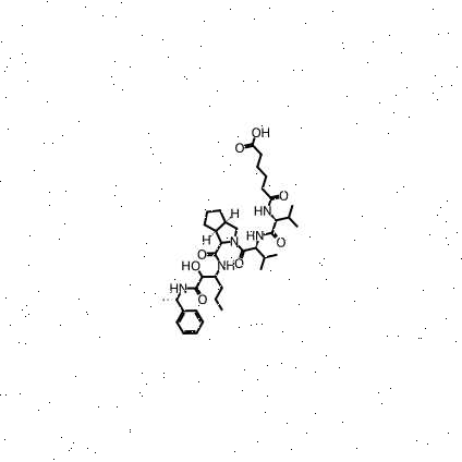 CCCC(NC(=O)C1[C@H]2CCC[C@H]2CN1C(=O)[C@@H](NC(=O)[C@@H](NC(=O)CCCCC(=O)O)C(C)C)C(C)C)C(O)C(=O)N[C@@H](C)c1ccccc1